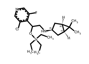 CC[Si](CC)(CC)OC(CN[C@H]1C[C@@H]2[C@H](C1)C2(C)C)c1c(F)cncc1Cl